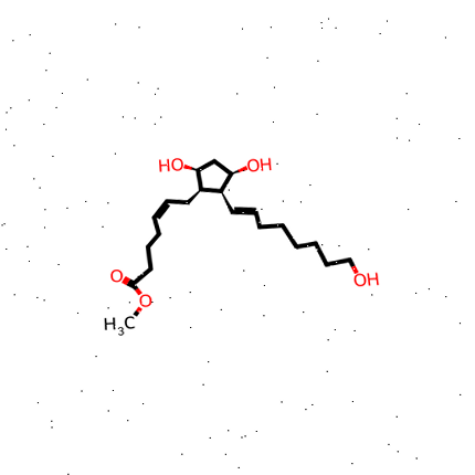 COC(=O)CCC/C=C\C[C@@H]1[C@H](C=CCCCCCCO)[C@H](O)C[C@@H]1O